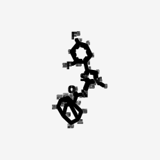 Cn1cc(-c2ccc(F)cc2F)s/c1=N\C(=O)C12CC3CC(CC(C3)C1)C2